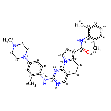 Cc1cc(N2CCN(C)CC2)ccc1Nc1ncc2c(n1)-n1ccc(C(=O)Nc3c(C)cccc3C)c1CC2